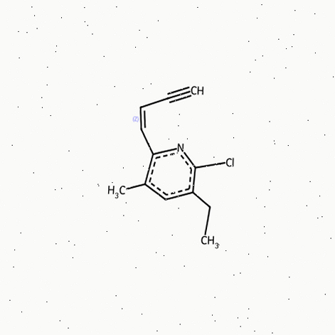 C#C/C=C\c1nc(Cl)c(CC)cc1C